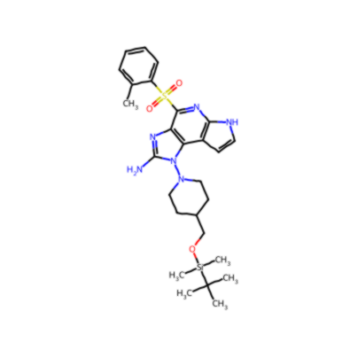 Cc1ccccc1S(=O)(=O)c1nc2[nH]ccc2c2c1nc(N)n2N1CCC(CO[Si](C)(C)C(C)(C)C)CC1